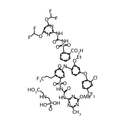 CCOc1cc(Oc2ccc(C(F)(F)F)cc2Cl)ccc1[N+](=O)[O-].COc1nc(C)nc(NC(=O)NS(=O)(=O)c2ccccc2CCC(F)(F)F)n1.O=C(Nc1nc(OC(F)F)cc(OC(F)F)n1)NS(=O)(=O)c1ccccc1C(=O)O.O=C(O)CNCP(=O)(O)O